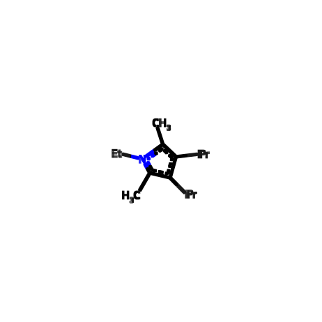 CCn1c(C)c(C(C)C)c(C(C)C)c1C